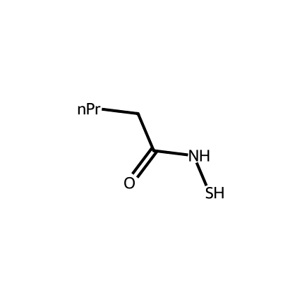 CCCCC(=O)NS